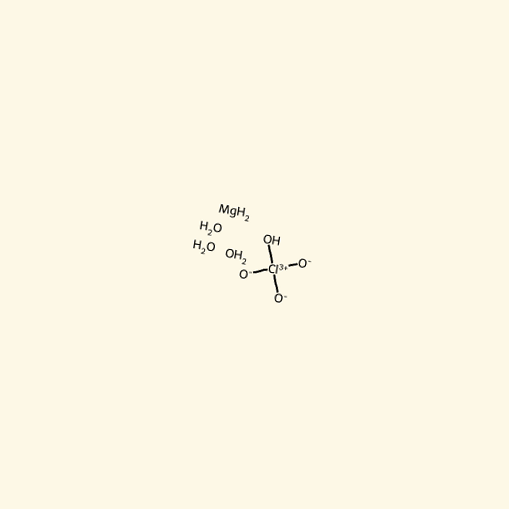 O.O.O.[MgH2].[O-][Cl+3]([O-])([O-])O